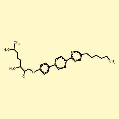 CCCCCCc1cnc(-c2ccc(-c3ccc(OCC(Cl)C(C)CCCC(C)C)cc3)cc2)nc1